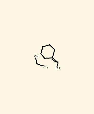 CCO.ON=C1CCCCC1